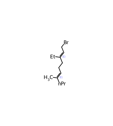 CCC/C(C)=C/CC/C(=C/CBr)CC